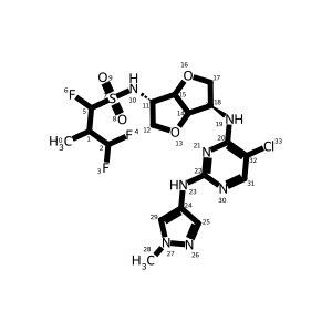 CC(C(F)F)C(F)S(=O)(=O)N[C@H]1COC2C1OC[C@H]2Nc1nc(Nc2cnn(C)c2)ncc1Cl